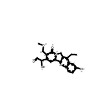 CCc1c2c(nc3ccc(O)cc13)-c1cc(C(O)C=O)c(COC)c(=O)n1C2